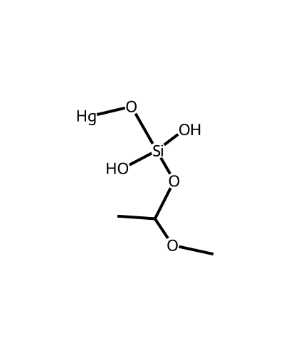 COC(C)O[Si](O)(O)[O][Hg]